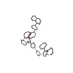 c1ccc(-c2ccccc2N(c2ccc(-c3ccc(-c4cccc5ccccc45)cc3)cc2)c2ccc(-c3cccc(-c4oc5ccccc5c4-c4ccccc4)c3)cc2)cc1